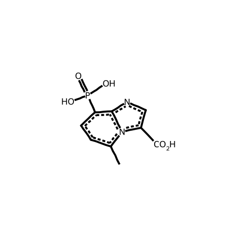 Cc1ccc(P(=O)(O)O)c2ncc(C(=O)O)n12